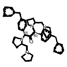 O=C([C@H](c1ccc(Cc2ccccc2)cc1)N1CCCC1CN1CCCC1)[C@H](c1ccc(Cc2ccccc2)cc1)N1CCCC1CN1CCCC1